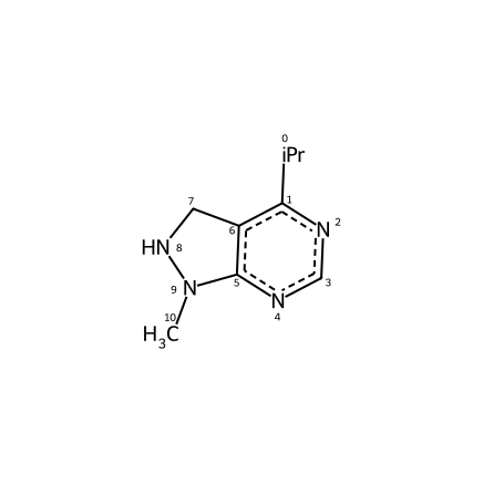 CC(C)c1ncnc2c1CNN2C